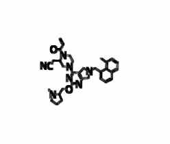 C=CC(=O)N1CCN(c2nc(OCC3CCCN3C)nc3c2CN(Cc2cccc4cccc(C)c24)C3)CC1CC#N